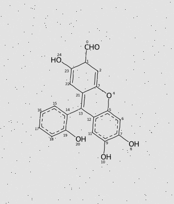 O=CC1C=C2Oc3cc(O)c(O)cc3C(c3ccccc3O)=C2C=C1O